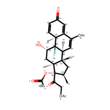 CCCCC(=O)O[C@@]1(C(=O)COC(C)=O)[C@H](C)C[C@H]2[C@@H]3C=C(OC(C)=O)C4=CC(=O)C=C[C@]4(C)[C@@]3(F)[C@@H](O)C[C@@]21C